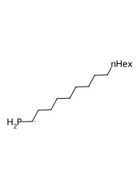 CCCCCCCCCCCCCC[CH]P